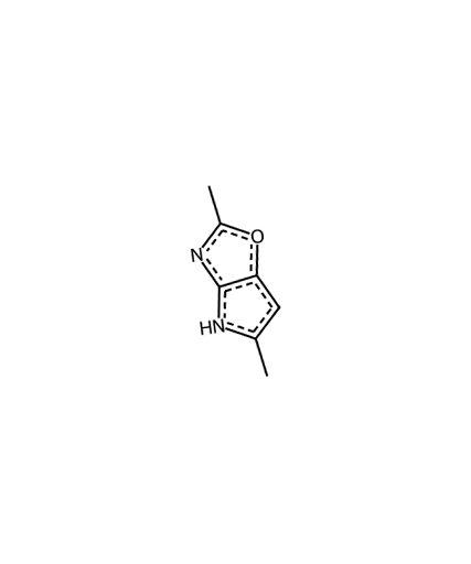 Cc1cc2oc(C)nc2[nH]1